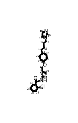 O=C(Nc1nc(COc2ccc(CCCCn3ccnn3)cc2)cs1)c1ccccc1Cl